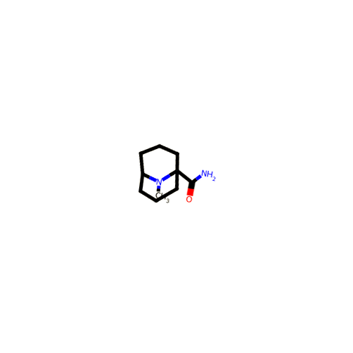 CN1C2CCCC1(C(N)=O)CCC2